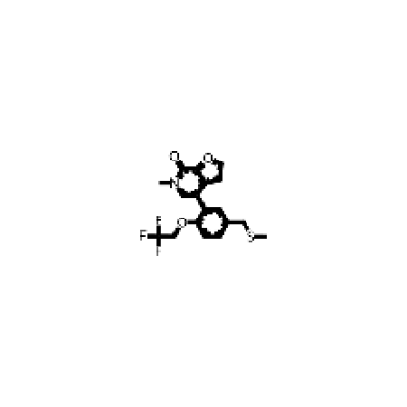 CSCc1ccc(OCC(F)(F)F)c(-c2cn(C)c(=O)c3occc23)c1